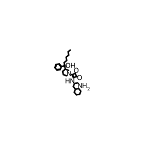 CCCCCC[C@@](O)(c1ccccc1)C1CCCN(c2c(NC(CN)CC3CCCCC3)c(=O)c2=O)C1